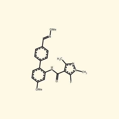 CO/N=C/c1ccc(-c2ccc(OC)cc2NC(=O)c2c(C)nn(C)c2F)cc1